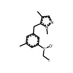 Cc1cc(Cc2c(C)cnn2C)cc([S+]([O-])CI)c1